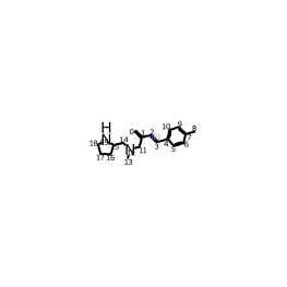 C=C(/C=C/c1ccc(C)cc1)CN(C)CC1CCCN1